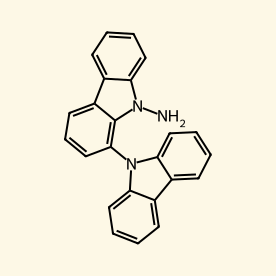 Nn1c2ccccc2c2cccc(-n3c4ccccc4c4ccccc43)c21